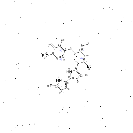 C=C/C(F)=C(CCC(=C/C)/C=C(/CC)Cc1[nH]c(-c2cnc(F)[nH]2)nc1C)\N=C/CC(F)(F)F